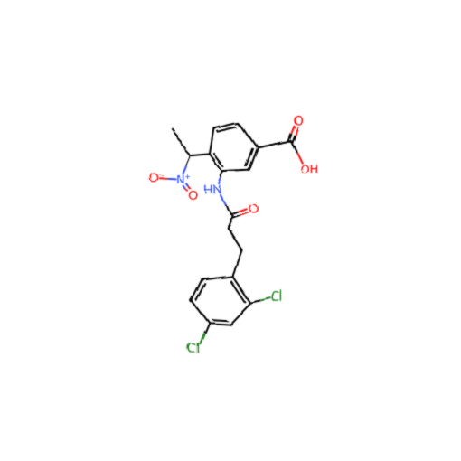 CC(c1ccc(C(=O)O)cc1NC(=O)CCc1ccc(Cl)cc1Cl)[N+](=O)[O-]